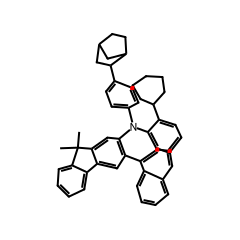 CC1(C)c2ccccc2-c2cc(-c3cccc4ccccc34)c(N(c3ccc(C4CC5CCC4C5)cc3)c3ccccc3C3CCCCC3)cc21